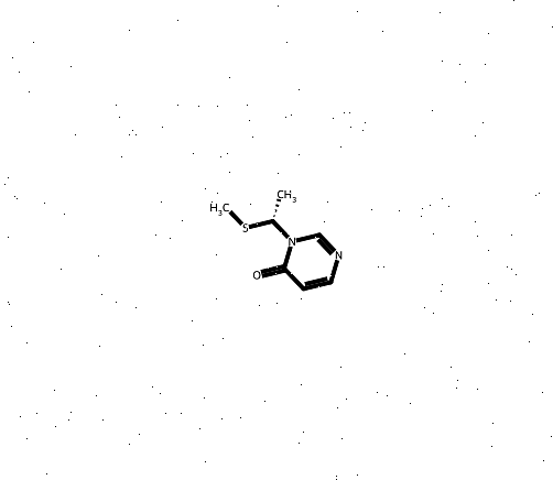 CS[C@H](C)n1cnccc1=O